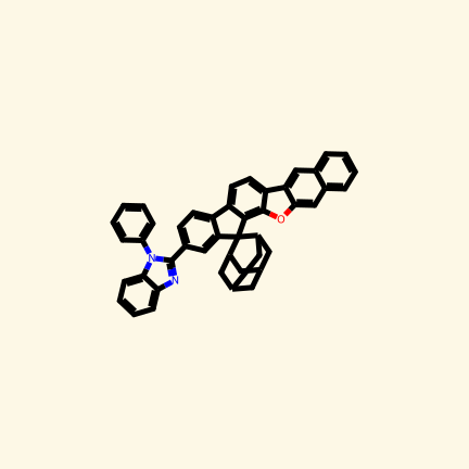 c1ccc(-n2c(-c3ccc4c(c3)C3(c5c-4ccc4c5oc5cc6ccccc6cc54)C4CC5CC(C4)CC3C5)nc3ccccc32)cc1